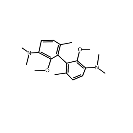 COc1c(N(C)C)ccc(C)c1-c1c(C)ccc(N(C)C)c1OC